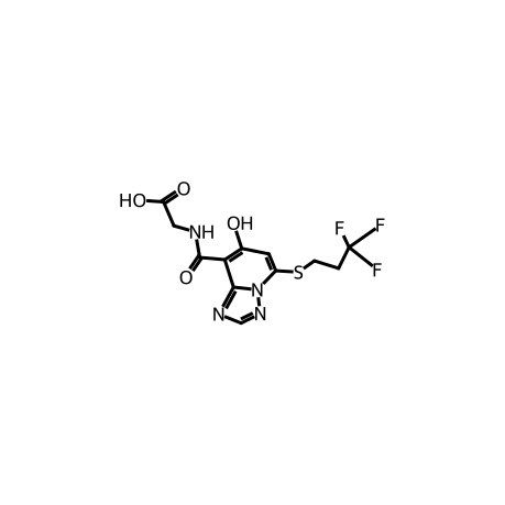 O=C(O)CNC(=O)c1c(O)cc(SCCC(F)(F)F)n2ncnc12